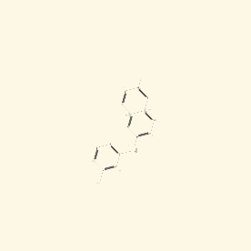 Cc1cccc(Nc2ccc3cc(S(=O)(=O)O)ccc3c2)c1